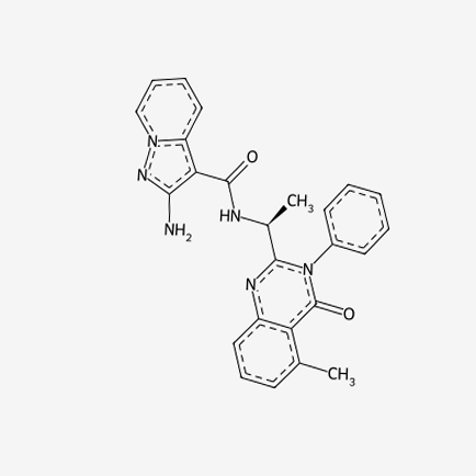 Cc1cccc2nc([C@H](C)NC(=O)c3c(N)nn4ccccc34)n(-c3ccccc3)c(=O)c12